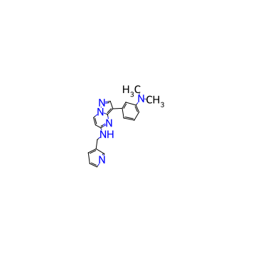 CN(C)c1cccc(-c2cnn3ccc(NCc4cccnc4)nc23)c1